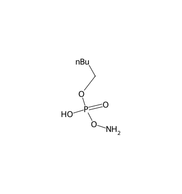 CCCCCOP(=O)(O)ON